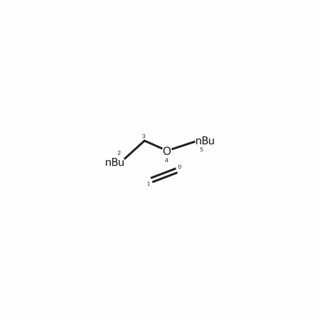 C=C.CCCCCOCCCC